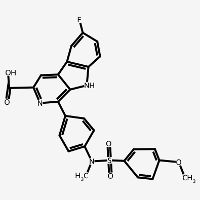 COc1ccc(S(=O)(=O)N(C)c2ccc(-c3nc(C(=O)O)cc4c3[nH]c3ccc(F)cc34)cc2)cc1